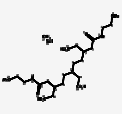 COCCNC(=O)CN(CCN(CCN(CC(=O)O)CC(=O)NCCOC)CC(=O)O)CC(=O)O.[CaH2].[NaH]